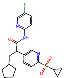 O=C(Nc1ccc(F)cn1)C(CC1CCCC1)c1ccc(S(=O)(=O)C2CC2)nc1